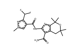 Cn1cc(C(=O)Nc2sc3c(c2C(N)=O)CC(C)(C)OC3(C)C)c(C(F)F)n1